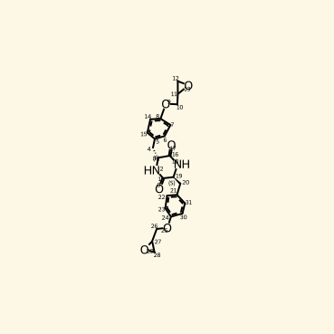 O=C1N[C@H](Cc2ccc(OCC3CO3)cc2)C(=O)N[C@H]1Cc1ccc(OCC2CO2)cc1